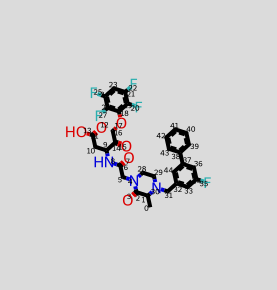 CC1C(=O)N(CC(=O)NC(CC(=O)O)C(=O)COc2c(F)c(F)cc(F)c2F)CCN1Cc1cc(F)cc(-c2ccccc2)c1